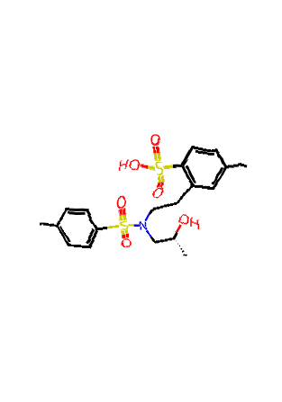 Cc1ccc(S(=O)(=O)N(CCc2cc(C)ccc2S(=O)(=O)O)C[C@@H](C)O)cc1